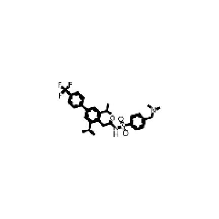 CC(C)c1cc(-c2ccc(C(F)(F)F)cc2)cc(C(C)C)c1CC(=O)NS(=O)(=O)c1ccc(CN(C)C)cc1